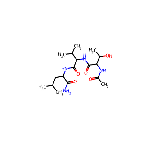 CC(=O)NC(C(=O)NC(C(=O)NC(CC(C)C)C(N)=O)C(C)C)C(C)O